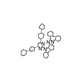 c1ccc(-c2ccc(-c3cc(-c4ccc(-c5ccccc5)cc4)nc(-n4c5ccccc5c5ccc6c(nc7c8ccccc8c8ccccc8n67)c54)n3)cc2)cc1